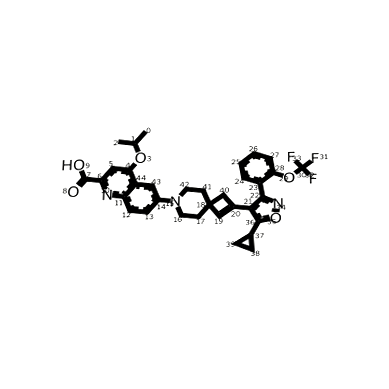 CC(C)Oc1cc(C(=O)O)nc2ccc(N3CCC4(C=C(c5c(-c6ccccc6OC(F)(F)F)noc5C5CC5)C4)CC3)cc12